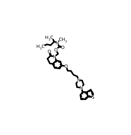 CCCC(C)N(C)C(=O)OCN1C(=O)CCc2ccc(OCCCCN3CCN(c4cccc5sccc45)CC3)cc21